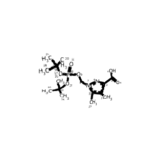 Cc1c(C(=O)O)nn(COP(=O)(OC(C)(C)C)OC(C)(C)C)c1C